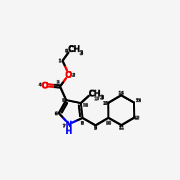 CCOC(=O)c1c[nH]c(CC2CCCCC2)c1C